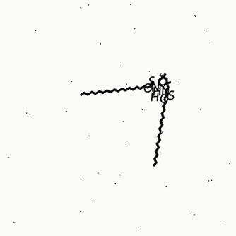 CCCCCCCCCCCCCCCCCCOC(=S)NCC1(C)CC(NC(=S)OCCCCCCCCCCCCCCCCCC)CC(C)(C)C1